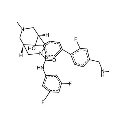 CNCc1ccc(-c2ccc(C3(O)[C@@H]4CN(C)C[C@H]3CN(C(=O)Nc3cc(F)cc(F)c3)C4)nc2)c(F)c1